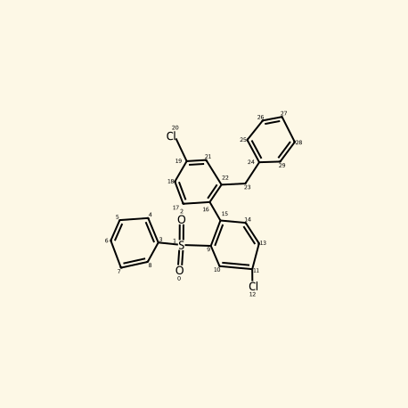 O=S(=O)(c1ccccc1)c1cc(Cl)ccc1-c1ccc(Cl)cc1Cc1ccccc1